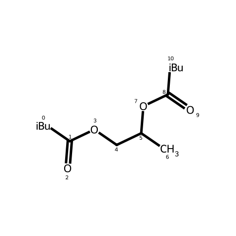 CCC(C)C(=O)OCC(C)OC(=O)C(C)CC